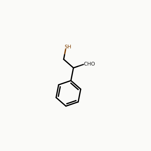 O=CC(CS)c1ccccc1